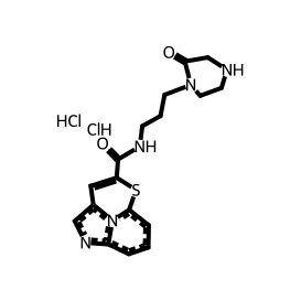 Cl.Cl.O=C(NCCCN1CCNCC1=O)C1=Cc2cnc3cccc(n23)S1